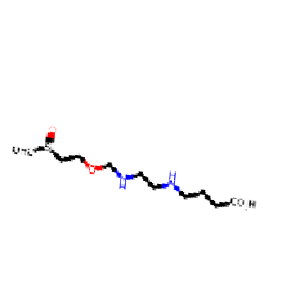 O=C[Si](=O)CCOCNCCNCCCC(=O)O